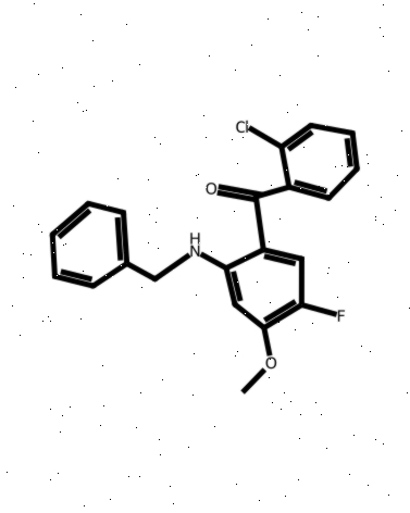 COc1cc(NCc2ccccc2)c(C(=O)c2ccccc2Cl)cc1F